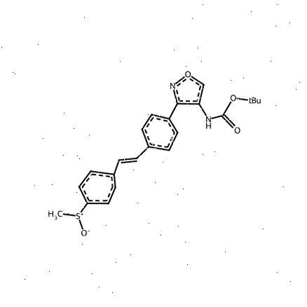 C[S+]([O-])c1ccc(C=Cc2ccc(-c3nocc3NC(=O)OC(C)(C)C)cc2)cc1